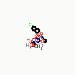 CC(C)(C)[C@@](C)(C(=O)O)N1CC[C@H](N(Cc2ccco2)S(=O)(=O)c2ccc3cc(Cl)ccc3c2)C1=O